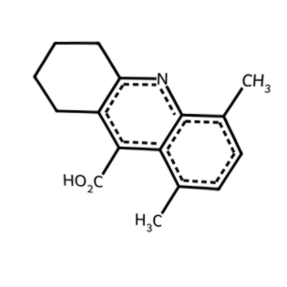 Cc1ccc(C)c2c(C(=O)O)c3c(nc12)CCCC3